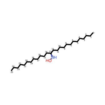 CCCCCCCCCCCCCC(CCCCCCCCCCCC)NO